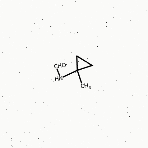 CC1(N[C]=O)CC1